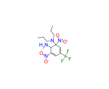 CCCN(CCC)C1([N+](=O)[O-])C=C(C(F)(F)F)C=C([N+](=O)[O-])C1N